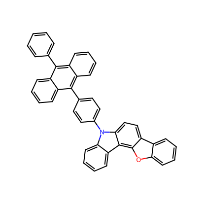 c1ccc(-c2c3ccccc3c(-c3ccc(-n4c5ccccc5c5c6oc7ccccc7c6ccc54)cc3)c3ccccc23)cc1